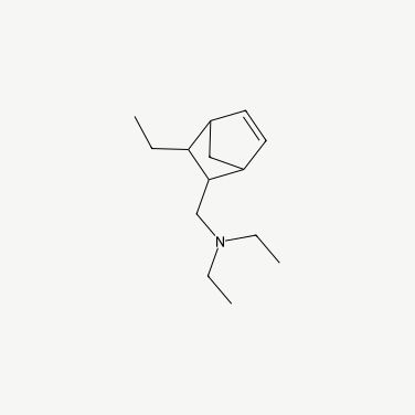 CCC1C2C=CC(C2)C1CN(CC)CC